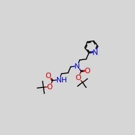 CC(C)(C)OC(=O)NCCCN(CCc1ccccn1)C(=O)OC(C)(C)C